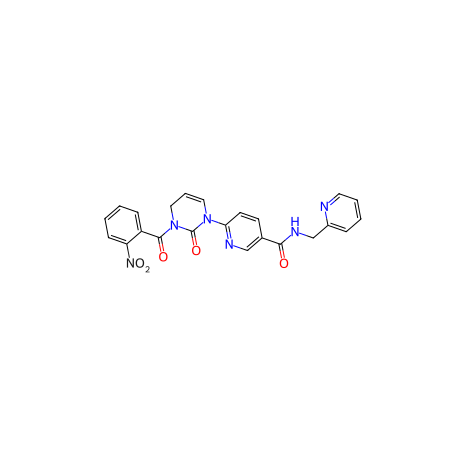 O=C(NCc1ccccn1)c1ccc(N2C=CCN(C(=O)c3ccccc3[N+](=O)[O-])C2=O)nc1